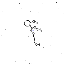 CO/[N+](=N\OCCCO)N1CCCCC1C